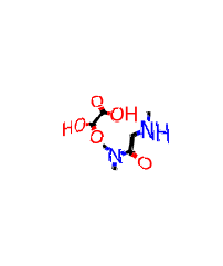 CNCC(=O)N(C)C.O=C(O)C(=O)O